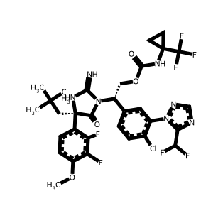 COc1ccc([C@@]2(CC(C)(C)C)NC(=N)N([C@H](COC(=O)NC3(C(F)(F)F)CC3)c3ccc(Cl)c(-n4ncnc4C(F)F)c3)C2=O)c(F)c1F